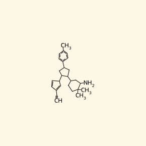 C#CC1=CC(C2CC(c3ccc(C)cc3)CC2C2CCC(C)(C)C(N)C2)C=C1